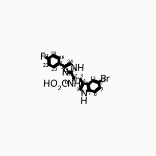 O=C(O)N[C@@H](Cc1c[nH]c2ccc(Br)cc12)c1nc(-c2ccc(F)cc2)c[nH]1